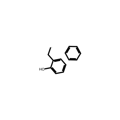 [CH2]Cc1ccccc1O.[c]1ccccc1